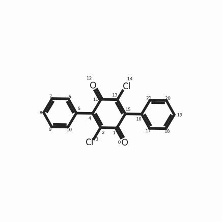 O=C1C(Cl)=C(c2ccccc2)C(=O)C(Cl)=C1c1ccccc1